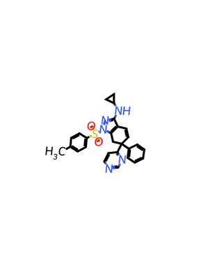 Cc1ccc(S(=O)(=O)n2nc(NC3CC3)c3c2CC(c2ccccc2)(c2ccncn2)C=C3)cc1